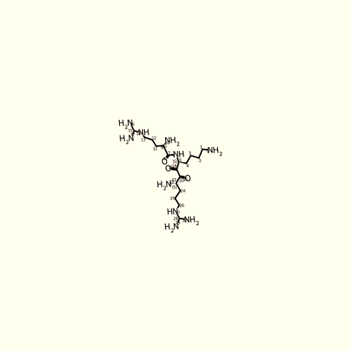 NCCCC[C@H](NC(=O)[C@@H](N)CCCNC(N)N)C(=O)C(=O)[C@@H](N)CCCNC(N)N